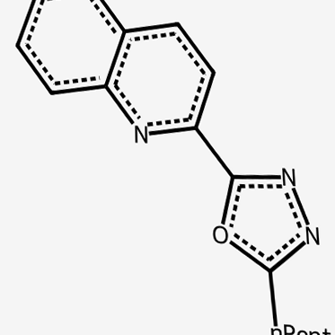 CCCCCc1nnc(-c2ccc3ccccc3n2)o1